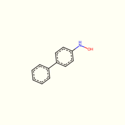 ONc1ccc(-c2ccccc2)cc1